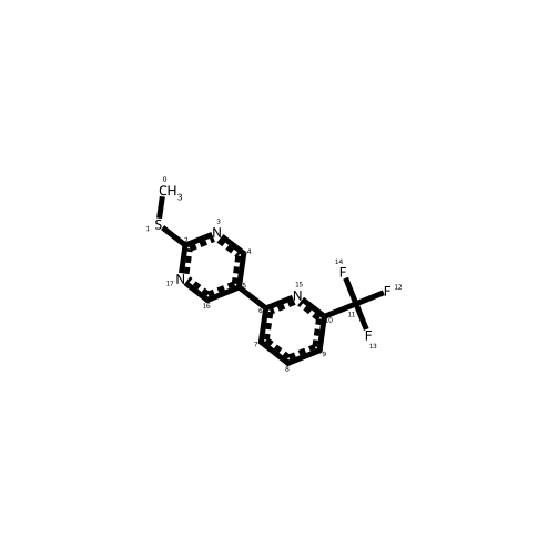 CSc1ncc(-c2cccc(C(F)(F)F)n2)cn1